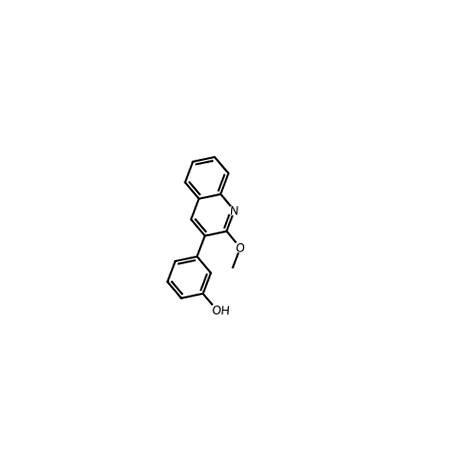 COc1nc2ccccc2cc1-c1cccc(O)c1